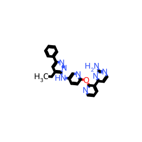 CCc1cc(-c2ccccc2)nnc1Nc1ccc(Oc2ncccc2-c2ccnc(N)n2)nc1